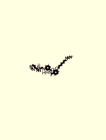 C[C@@H](NC(=O)c1cccc(NCc2nnc(-c3ccncn3)n2C)c1)c1cccc(OCCCCCCCN=[N+]=[N-])c1